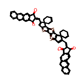 O=C1C(=CC2=Cc3sc4c(sc5c6c(sc54)C=C(C=C4C(=O)c5cc7cc8ccccc8cc7cc5C4=O)C64CCCCC4)c3C23CCCCC3)C(=O)c2cc3cc4ccccc4cc3cc21